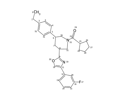 CCc1ccc(C2CC(c3nc(-c4cccc(F)c4)co3)CN(C(=O)C3CCCC3)C2)cc1